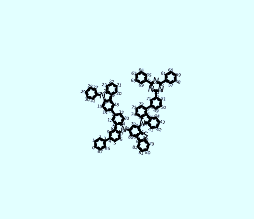 c1ccc(-c2ccc3c(c2)c2cc(-c4ccc5c(c4)c4ccccc4n5-c4ccccc4)ccc2n3-c2cc(-n3c4ccccc4c4c(-c5cccc(-c6nc(-c7ccccc7)nc(-c7ccccc7)n6)c5)cccc43)c3sc4ccccc4c3c2)cc1